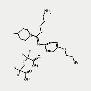 CC(C)CCOc1ccc(/N=C(\NCCCN)N2CCC(C)CC2)cc1.O=C(O)C(F)(F)F.O=C(O)C(F)(F)F